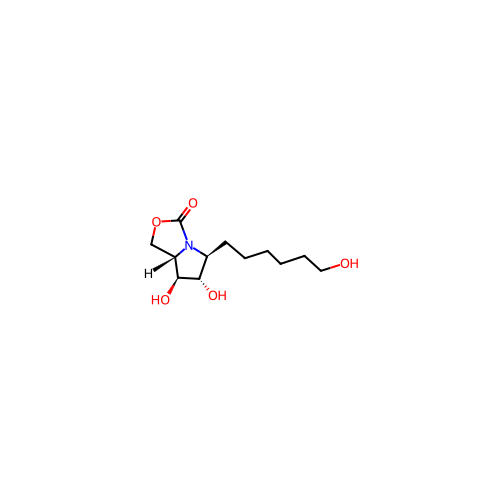 O=C1OC[C@H]2[C@H](O)[C@@H](O)[C@H](CCCCCCO)N12